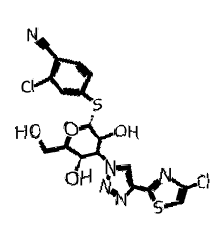 N#Cc1ccc(S[C@H]2OC(CO)[C@H](O)C(n3cc(-c4nc(Cl)cs4)nn3)C2O)cc1Cl